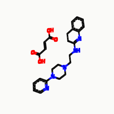 O=C(O)C=CC(=O)O.c1ccc(N2CCN(CCNC3=Nc4ccccc4CC3)CC2)nc1